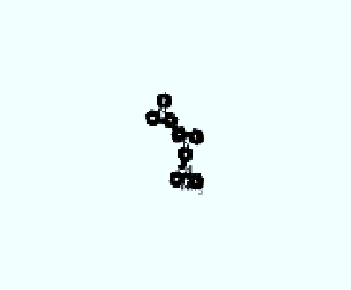 C=C(/N=C(/c1ccccc1)c1ccccc1N)c1ccc(-n2c3ccccc3c3cc(-c4ccc5c(c4)c4ccccc4n5-c4ccccc4)ccc32)cc1